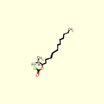 CCCCCCCCCCCCC(OC(=O)Cl)[SiH](C)C